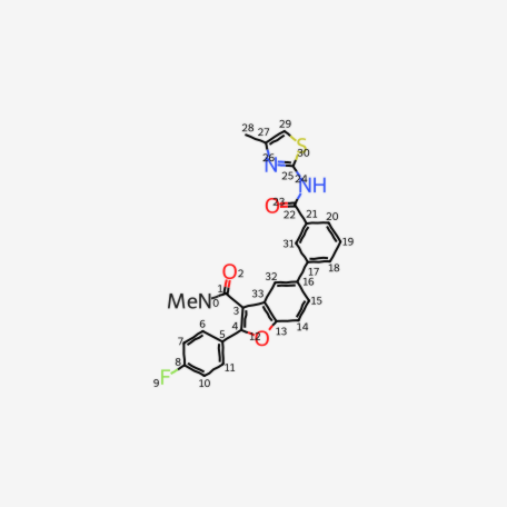 CNC(=O)c1c(-c2ccc(F)cc2)oc2ccc(-c3cccc(C(=O)Nc4nc(C)cs4)c3)cc12